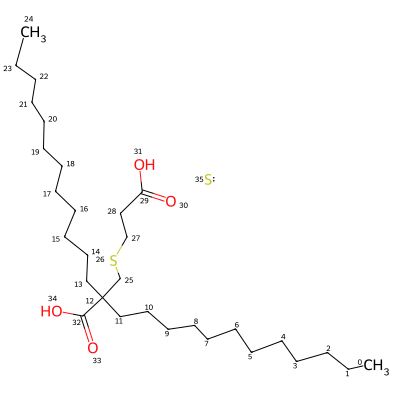 CCCCCCCCCCCCC(CCCCCCCCCCCC)(CSCCC(=O)O)C(=O)O.[S]